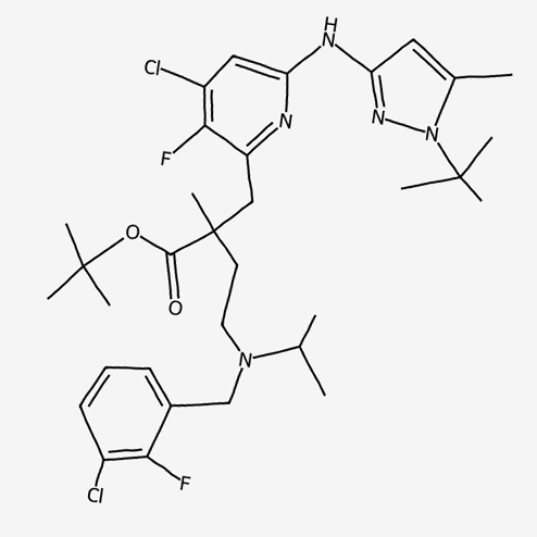 Cc1cc(Nc2cc(Cl)c(F)c(CC(C)(CCN(Cc3cccc(Cl)c3F)C(C)C)C(=O)OC(C)(C)C)n2)nn1C(C)(C)C